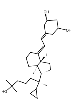 CC(C)(O)CCC[C@](C)(C1CC1)[C@H]1CC[C@H]2/C(=C/C=C3\CC(O)C[C@H](O)C3)CCC[C@@]21C